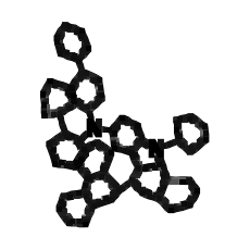 c1ccc(-c2ccc(N(c3ccc4c(c3)c3c(-c5cc6ccccc6c6ccccc56)cc5ccccc5c3n4-c3ccccc3)c3ccccc3-c3ccccc3)cc2)cc1